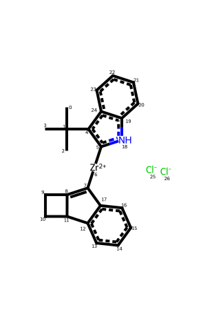 CC(C)(C)c1[c]([Zr+2][C]2=C3CCC3c3ccccc32)[nH]c2ccccc12.[Cl-].[Cl-]